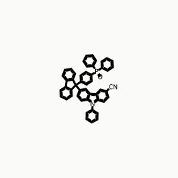 N#Cc1ccc2c(c1)c1cc(C3(c4ccc(P(=O)(c5ccccc5)c5ccccc5)cc4)c4ccccc4-c4ccccc43)ccc1n2-c1ccccc1